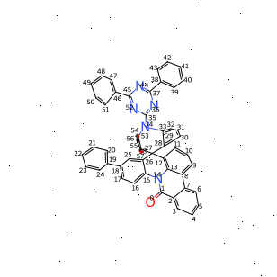 O=c1c2ccccc2c2cccc3c2n1-c1ccc(-c2ccccc2)cc1C31c2ccccc2N(c2nc(-c3ccccc3)nc(-c3ccccc3)n2)c2ccccc21